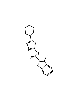 O=C(Nc1nnc(C2CCCCC2)s1)c1sc2ccccc2c1Cl